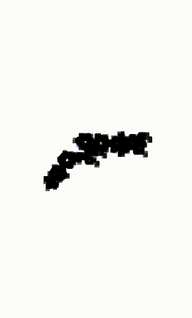 C=C(NC[C@H]1CCC[C@@H](c2ccc(C(F)(F)F)cc2)O1)/C(C)=C(\N=C/N)C(=O)N1CCC(N2C[C@H]3C[C@@H](N(C)S(C)(=O)=O)C[C@H]3C2)CC1